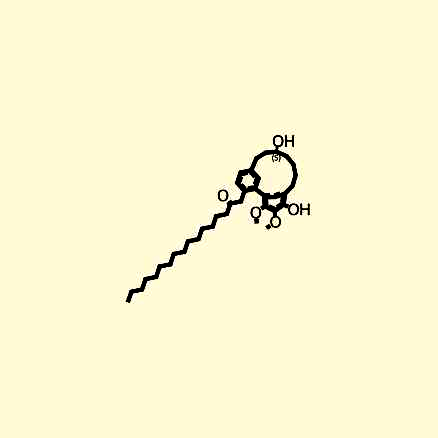 CCCCCCCCCCCCCCCC(=O)Cc1ccc2cc1-c1cc(c(O)c(OC)c1OC)CCCC[C@H](O)CC2